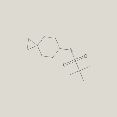 CC(C)(C)S(=O)(=O)NC1CCC2(CC1)CC2